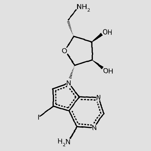 NC[C@H]1O[C@@H](n2cc(I)c3c(N)ncnc32)[C@H](O)[C@@H]1O